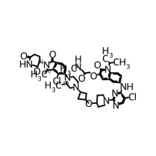 CNC(=O)COc1cc2cc(Nc3nc(N4CCC(OC5CC(N6CCN(c7ccc8c(c7Cl)[C@@H](C)N([C@H]7CCC(=O)NC7=O)C8=O)[C@H](C)C6)C5)CC4)ncc3Cl)ccc2n(C(C)C)c1=O